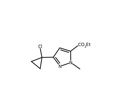 CCOC(=O)c1cc(C2(Cl)CC2)nn1C